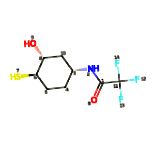 O=C(N[C@@H]1CC[C@@H](S)[C@H](O)C1)C(F)(F)F